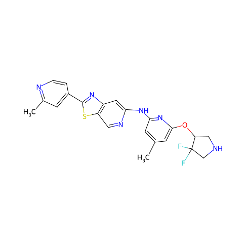 Cc1cc(Nc2cc3nc(-c4ccnc(C)c4)sc3cn2)nc(OC2CNCC2(F)F)c1